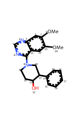 COc1cc2ncnc(N3CCC(O)C(c4ccccc4)C3)c2cc1OC